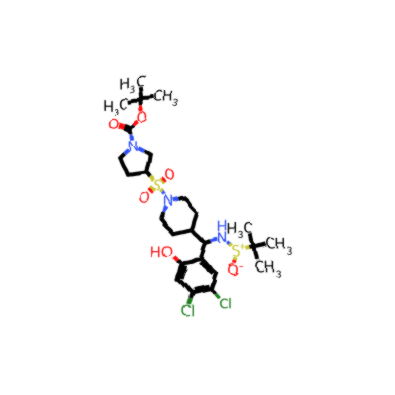 CC(C)(C)OC(=O)N1CCC(S(=O)(=O)N2CCC(C(N[S+]([O-])C(C)(C)C)c3cc(Cl)c(Cl)cc3O)CC2)C1